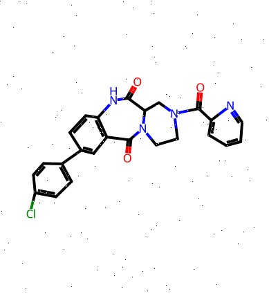 O=C1Nc2ccc(-c3ccc(Cl)cc3)cc2C(=O)N2CCN(C(=O)c3ccccn3)CC12